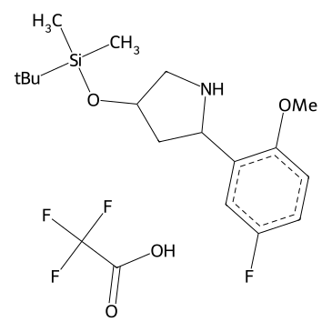 COc1ccc(F)cc1C1CC(O[Si](C)(C)C(C)(C)C)CN1.O=C(O)C(F)(F)F